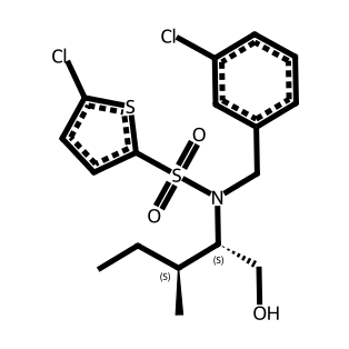 CC[C@H](C)[C@@H](CO)N(Cc1cccc(Cl)c1)S(=O)(=O)c1ccc(Cl)s1